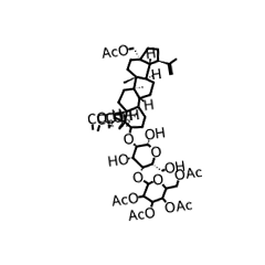 C=C(C)[C@@H]1CC[C@]2(COC(C)=O)CC[C@]3(C)[C@H](CC[C@@H]4[C@@]5(C)CCC(O[C@@H]6[C@@H](O)[C@@H](OC7OC(COC(C)=O)C(OC(C)=O)C(OC(C)=O)C7OC(C)=O)[C@@H](CO)O[C@H]6O)C(C)(C)[C@@H]5CC[C@]43C)[C@@H]12.CC(=O)O.CC(=O)O.CC(=O)O